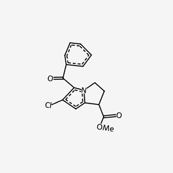 COC(=O)C1CCn2c1cc(Cl)c2C(=O)c1ccccc1